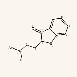 CC(=O)N(C)CCC1Sc2ccccc2[N+]1=O